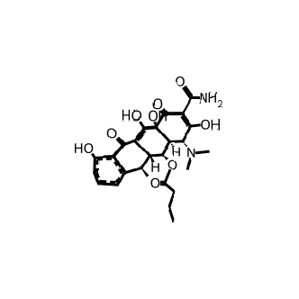 CCCC(=O)O[C@H]1[C@H]2C(=C(O)[C@]3(O)C(=O)C(C(N)=O)=C(O)[C@H](N(C)C)[C@@H]13)C(=O)c1c(O)cccc1[C@@H]2C